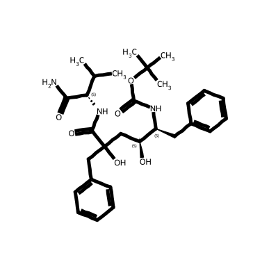 CC(C)[C@H](NC(=O)C(O)(Cc1ccccc1)C[C@H](O)[C@H](Cc1ccccc1)NC(=O)OC(C)(C)C)C(N)=O